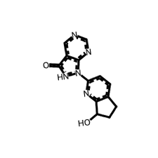 O=c1[nH]n(-c2ccc3c(n2)C(O)CC3)c2ncncc12